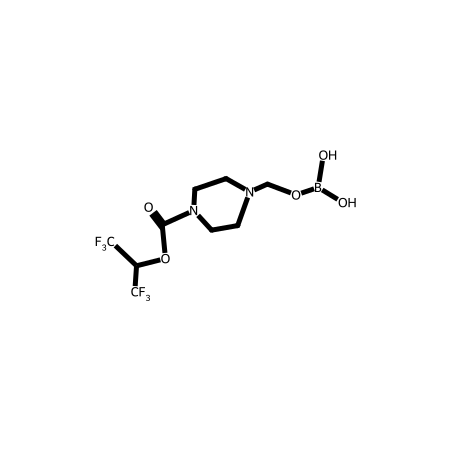 O=C(OC(C(F)(F)F)C(F)(F)F)N1CCN(COB(O)O)CC1